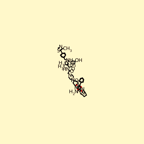 Cc1ncsc1-c1ccc(CNC(=O)[C@@H]2C[C@@H](O)CN2C(=O)[C@@H](NC(=O)CN2CCN([C@H]3CC[C@@H](c4cnc(N5C6CCC5CN(c5cc(-c7ccccc7O)nnc5N)C6)nc4)CC3)CC2)C(C)(C)C)cc1